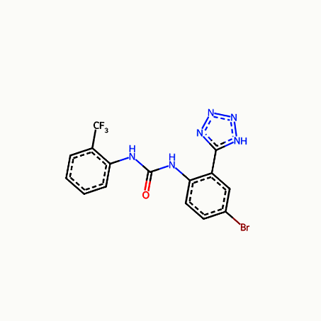 O=C(Nc1ccc(Br)cc1-c1nnn[nH]1)Nc1ccccc1C(F)(F)F